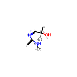 C=C(/N=C\[C@@](C)(O)CC)NCC